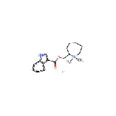 C[N+]1(C)CCCCCC1COC(=O)c1c[nH]c2ccccc12.[I-]